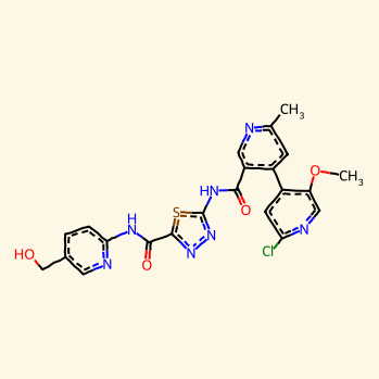 COc1cnc(Cl)cc1-c1cc(C)ncc1C(=O)Nc1nnc(C(=O)Nc2ccc(CO)cn2)s1